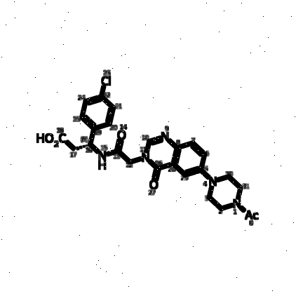 CC(=O)N1CCN(c2ccc3ncn(CC(=O)N[C@H](CC(=O)O)c4ccc(Cl)cc4)c(=O)c3c2)CC1